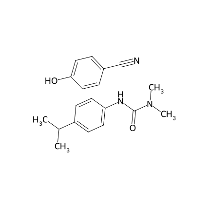 CC(C)c1ccc(NC(=O)N(C)C)cc1.N#Cc1ccc(O)cc1